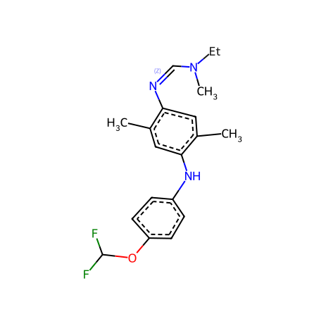 CCN(C)/C=N\c1cc(C)c(Nc2ccc(OC(F)F)cc2)cc1C